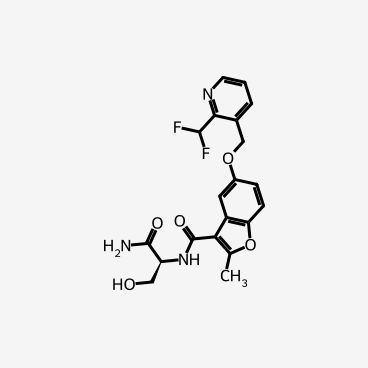 Cc1oc2ccc(OCc3cccnc3C(F)F)cc2c1C(=O)N[C@@H](CO)C(N)=O